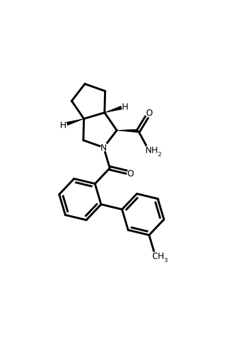 Cc1cccc(-c2ccccc2C(=O)N2C[C@@H]3CCC[C@@H]3[C@H]2C(N)=O)c1